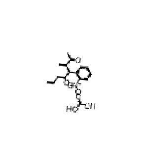 CCCC(=O)C(c1ccccc1[N+](=O)[O-])C(C)C(C)=O.O=C(O)O